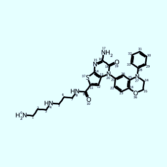 NCCCNCCCNC(=O)c1cc2c(nc(N)c(=O)n2-c2ccc3c(c2)N(c2ccccc2)CCO3)s1